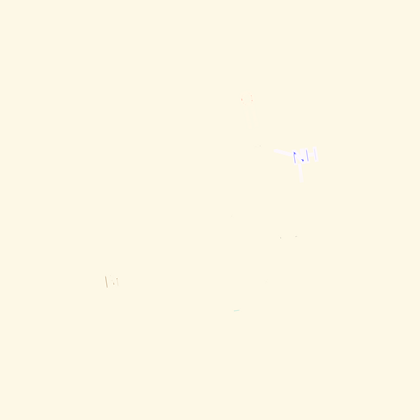 O=C1NC[C@@]2(CC2F)c2cc(Br)ccc21